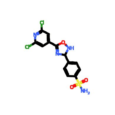 NS(=O)(=O)c1ccc(C2N=C(c3cc(Cl)nc(Cl)c3)ON2)cc1